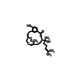 CC(C)=CCCC(C)(O)C1CC/C(C)=C/CC/C(C)=C/Cc2cc(ccc2O)C(=O)O1